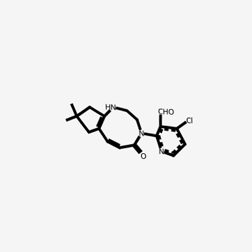 CC1(C)CC2=C(C1)NCCN(c1nccc(Cl)c1C=O)C(=O)C=C2